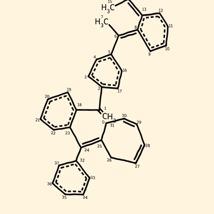 C=C(c1ccc(/C(C)=c2\cccc\c2=C\C)cc1)c1ccccc1C(=C1CC=CC=CC1)c1ccccc1